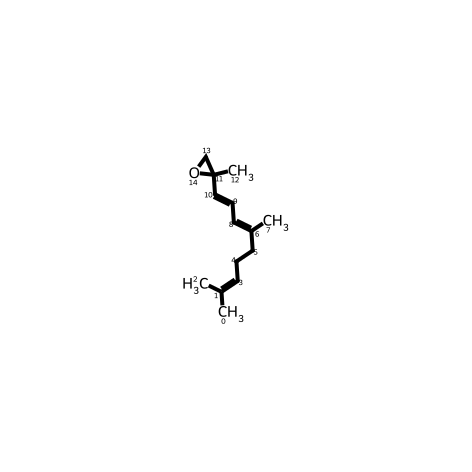 CC(C)=CCC/C(C)=C/C=C/C1(C)CO1